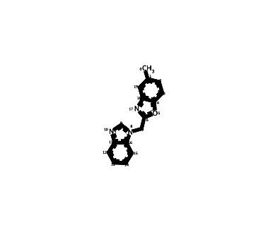 Cc1ccc2oc(Cn3cnc4ccccc43)nc2c1